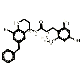 Cc1cc(O)cc(C)c1C[C@H](N)C(=O)N[C@@H]1CCNc2c1cc(Cc1ccccc1)cc2C(C)(C)C